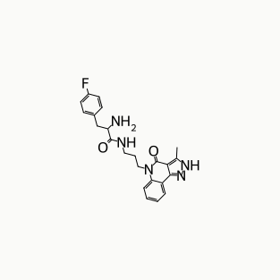 Cc1[nH]nc2c1c(=O)n(CCCNC(=O)C(N)Cc1ccc(F)cc1)c1ccccc21